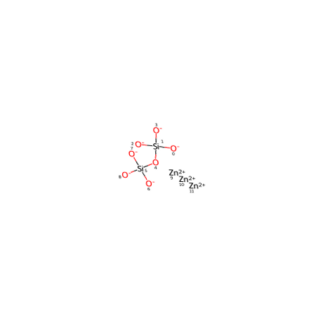 [O-][Si]([O-])([O-])O[Si]([O-])([O-])[O-].[Zn+2].[Zn+2].[Zn+2]